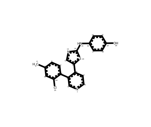 Cc1ccc(-c2cnccc2-c2cnc(Nc3ccc(O)cc3)s2)c(Cl)c1